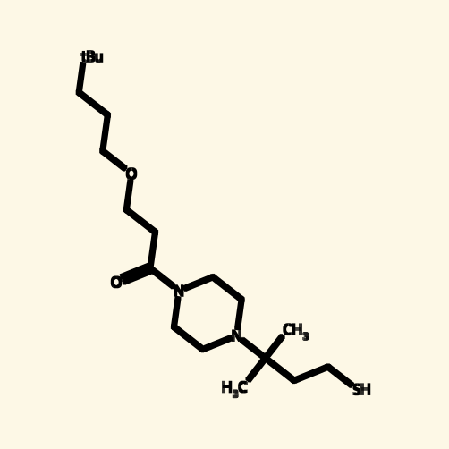 CC(C)(C)CCCOCCC(=O)N1CCN(C(C)(C)CCS)CC1